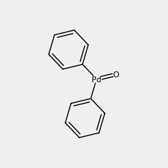 [O]=[Pd]([c]1ccccc1)[c]1ccccc1